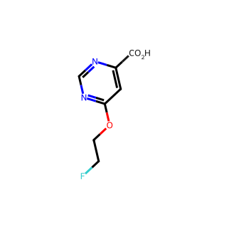 O=C(O)c1cc(OCCF)ncn1